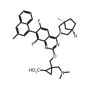 Cc1cc(-c2c(F)cc3c(N4C[C@H]5CC[C@@](C)(C5)C4)nc(OCC4(CN(C)C)CC4C(=O)O)nc3c2F)c2ccccc2c1